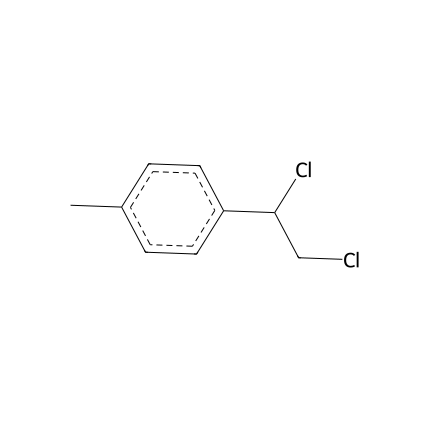 Cc1ccc(C(Cl)CCl)cc1